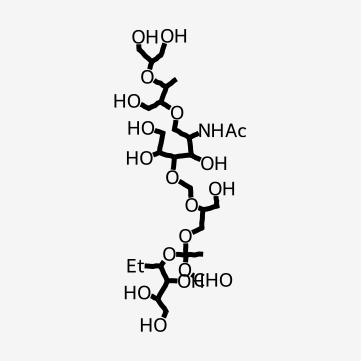 CCC(OC(C)(OC=O)OCC(CO)OCOC(C(O)CO)C(O)C(COC(CO)C(C)OC(CO)CO)NC(C)=O)C(O)C(O)CO